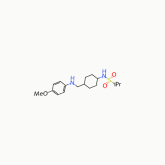 COc1ccc(NCC2CCC(NS(=O)(=O)C(C)C)CC2)cc1